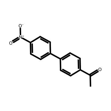 CC(=O)c1ccc(-c2ccc([N+](=O)[O-])cc2)cc1